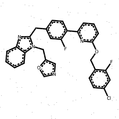 Fc1cc(Cl)ccc1COc1cccc(-c2ccc(Cc3nc4ccccc4n3Cc3cnco3)cc2F)n1